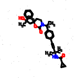 C[C@@H](c1ccc(C#CC(C)(C)NC(=O)C2CC2)cc1)N1CCC(CC(C)(C)O)(c2ccccc2)OC1=O